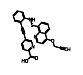 C#CCOc1ccnc2c(SNc3ccccc3C#Cc3ccc(C(=O)O)nc3)cccc12